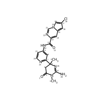 CN1C(=O)CC(C)(c2cc(NC(=O)c3cc4cc(Cl)cn4cn3)ccn2)N=C1N